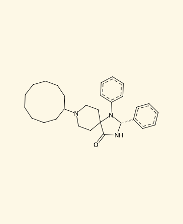 O=C1N[C@@H](c2ccccc2)N(c2ccccc2)C12CCN(C1CCCCCCCCC1)CC2